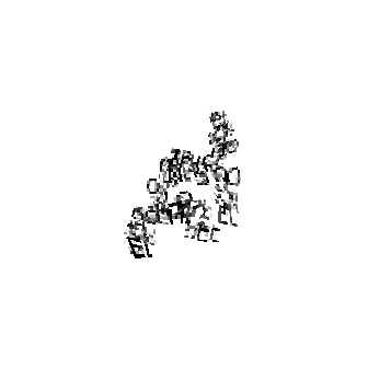 CCC1CCC(C(=O)OCC(C)(COC(=O)CCN(CCC(=O)OCC(C)(COC(=O)C2CCC(CC)CC2)COC(=O)C2CCC(CC)CC2)C(=O)OC(C)(C)C)COC(=O)C2CCC(CC)CC2)CC1